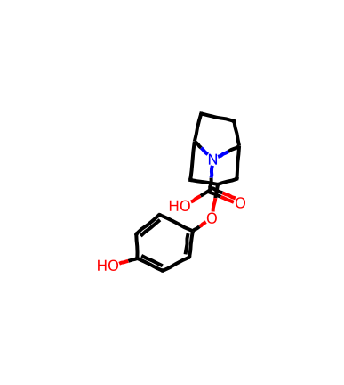 O=C(O)N1C2CCC1CC(Oc1ccc(O)cc1)C2